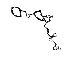 CCOC(=O)/C=C/Cc1c[nH]c2ccc(OCc3ccccc3)cc12